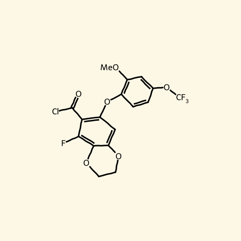 COc1cc(OC(F)(F)F)ccc1Oc1cc2c(c(F)c1C(=O)Cl)OCCO2